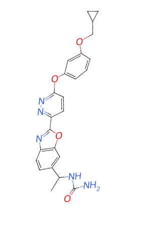 CC(NC(N)=O)c1ccc2nc(-c3ccc(Oc4cccc(OCC5CC5)c4)nn3)oc2c1